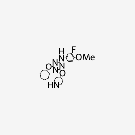 COc1ccc(Nc2nc(OC3CCCCCC3)nc(OC3CCNCC3)n2)cc1F